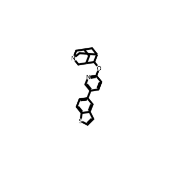 c1cc2cc(-c3ccc(OC4C5CC6CC4CN(C6)C5)nc3)ccc2s1